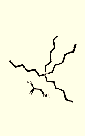 CCCCCC[N+](CCCCCC)(CCCCCC)CCCCCC.NCC(=O)O